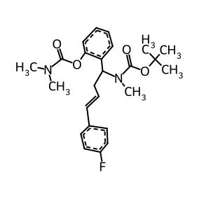 CN(C)C(=O)Oc1ccccc1C(CC=Cc1ccc(F)cc1)N(C)C(=O)OC(C)(C)C